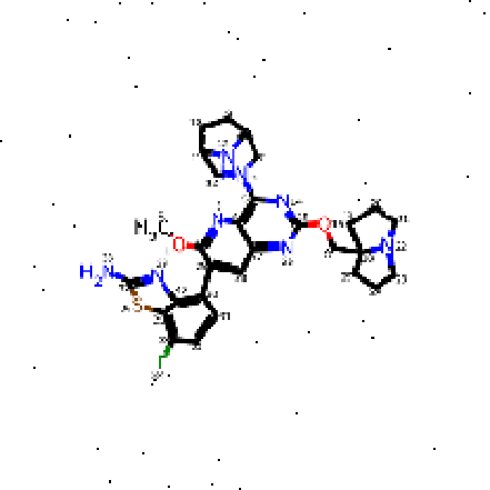 COc1nc2c(N3CC4CCC(C3)N4)nc(OCC34CCCN3CCC4)nc2cc1-c1ccc(F)c2sc(N)nc12